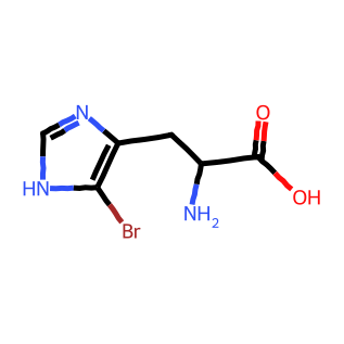 NC(Cc1nc[nH]c1Br)C(=O)O